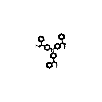 FC=C(c1ccccc1)c1ccc(N(c2ccc(C(=CF)c3ccccc3)cc2)c2ccc(C(=CF)c3ccccc3)cc2)cc1